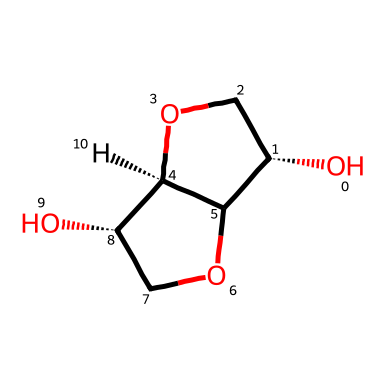 O[C@H]1CO[C@H]2C1OC[C@@H]2O